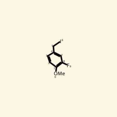 COc1ccc(CI)cc1F